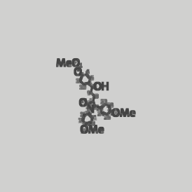 COCOc1ccc([C@@H](O)CCC2C(=O)N(c3ccc(OC)cc3)C2c2ccc(OC)cc2)cc1